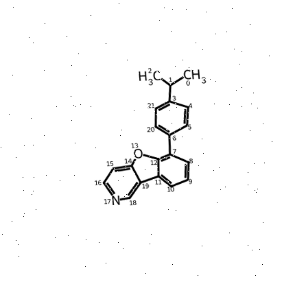 CC(C)c1ccc(-c2cccc3c2oc2ccncc23)cc1